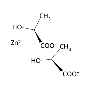 C[C@H](O)C(=O)[O-].C[C@H](O)C(=O)[O-].[Zn+2]